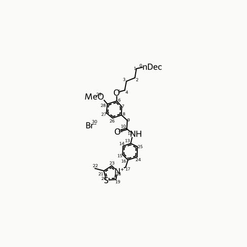 CCCCCCCCCCCCCCOc1cc(CC(=O)Nc2ccc(C[n+]3csc(C)c3)cc2)ccc1OC.[Br-]